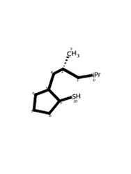 CC(C)C[C@@H](C)CC1CCCC1S